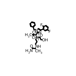 C[C@H](NCCCN(C(=O)CO)[C@@H](c1nc(-c2cc(F)ccc2F)cn1Cc1ccccc1)C(C)(C)C)C(N)=O